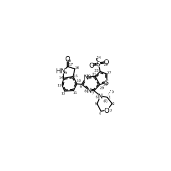 C[C@@H]1COCCN1c1nc(-c2cccc3c2CC(=O)N3)nc2c(S(C)(=O)=O)csc12